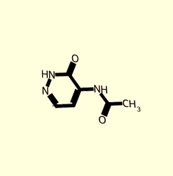 CC(=O)Nc1c[c]n[nH]c1=O